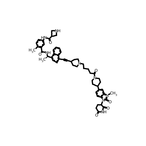 Cc1ccc(NC(=O)C2CNC2)cc1C(=O)N[C@H](C)c1ccc(C#CC2CCN(CCCCC(=O)N3CCC(c4ccc5c(c4)n(C)c(=O)n5C4CCC(=O)NC4=O)CC3)CC2)c2ccccc12